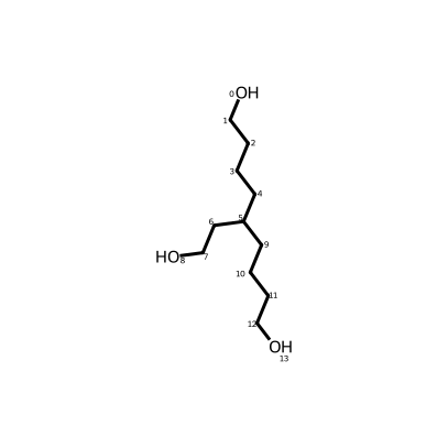 OCCCCC(CCO)CCCCO